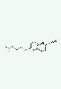 CNCCCOc1ccc2nc(C#N)ccc2c1